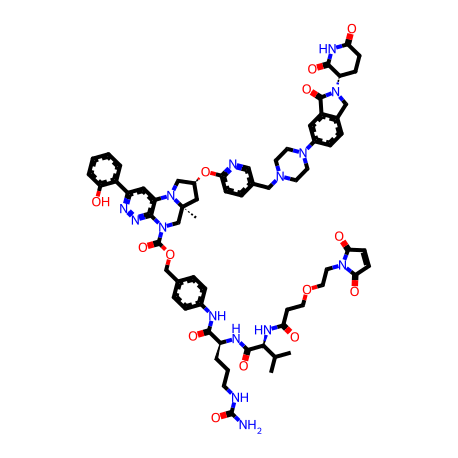 CC(C)[C@H](NC(=O)CCOCCN1C(=O)C=CC1=O)C(=O)N[C@@H](CCCNC(N)=O)C(=O)Nc1ccc(COC(=O)N2C[C@]3(C)C[C@@H](Oc4ccc(CN5CCN(c6ccc7c(c6)C(=O)N([C@H]6CCC(=O)NC6=O)C7)CC5)cn4)CN3c3cc(-c4ccccc4O)nnc32)cc1